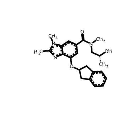 Cc1nc2c(OC3Cc4ccccc4C3)cc(C(=O)N(C)C[C@@H](C)O)cc2n1C